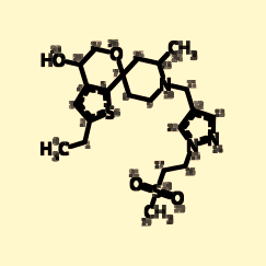 CCc1cc2c(s1)C1(CCN(Cc3cnn(CCS(C)(=O)=O)c3)C(C)C1)OCC2O